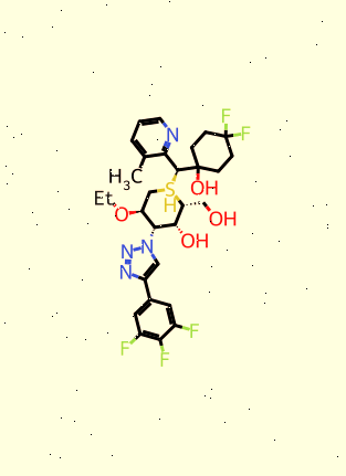 CCO[C@H]1C[SH]([C@@H](c2ncccc2C)C2(O)CCC(F)(F)CC2)[C@H](CO)[C@H](O)[C@@H]1n1cc(-c2cc(F)c(F)c(F)c2)nn1